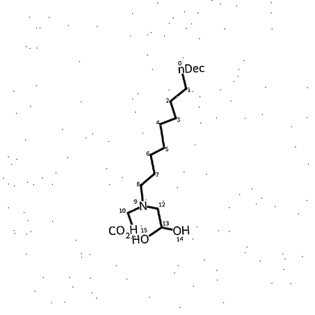 CCCCCCCCCCCCCCCCCCN(CC(=O)O)CC(O)O